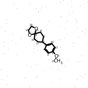 COc1ccc(C2CCC3(CC2)OCCO3)cc1